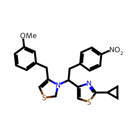 COc1cccc(CC2=CSCN2C(Cc2ccc([N+](=O)[O-])cc2)c2csc(C3CC3)n2)c1